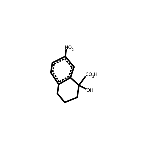 O=C(O)C1(O)CCCc2ccc([N+](=O)[O-])cc21